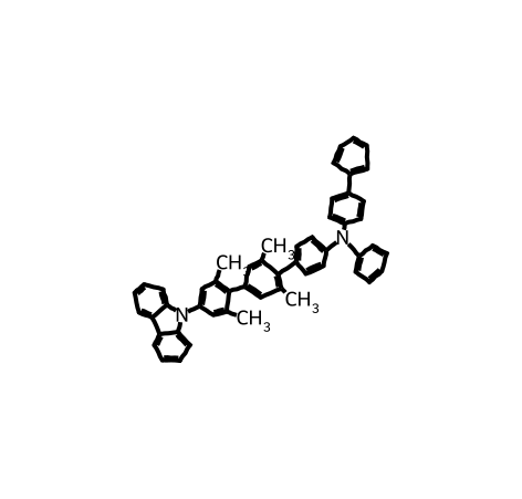 Cc1cc(-c2c(C)cc(-n3c4ccccc4c4ccccc43)cc2C)cc(C)c1-c1ccc(N(c2ccccc2)c2ccc(-c3ccccc3)cc2)cc1